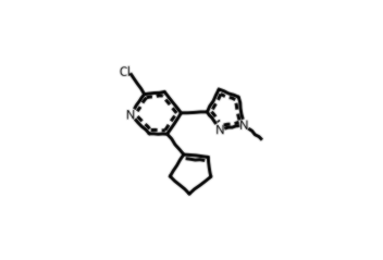 Cn1ccc(-c2cc(Cl)ncc2C2=CCCC2)n1